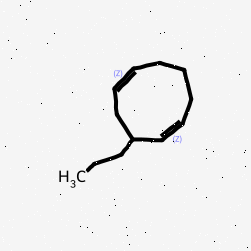 CCCC1/C=C\CCC/C=C\C1